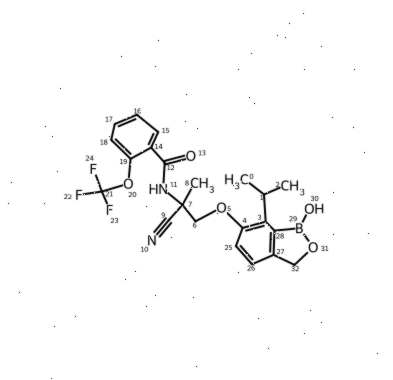 CC(C)c1c(OCC(C)(C#N)NC(=O)c2ccccc2OC(F)(F)F)ccc2c1B(O)OC2